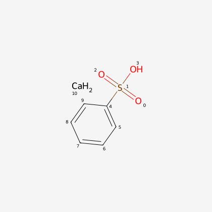 O=S(=O)(O)c1ccccc1.[CaH2]